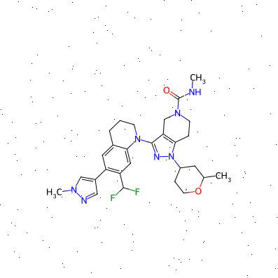 CNC(=O)N1CCc2c(c(N3CCCc4cc(-c5cnn(C)c5)c(C(F)F)cc43)nn2C2CCOC(C)C2)C1